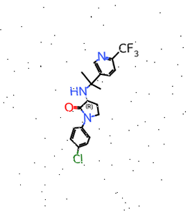 CC(C)(N[C@@H]1CCN(c2ccc(Cl)cc2)C1=O)c1ccc(C(F)(F)F)nc1